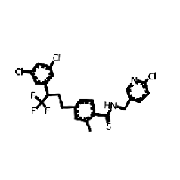 Cc1cc(CCC(c2cc(Cl)cc(Cl)c2)C(F)(F)F)ccc1C(=S)NCc1ccc(Cl)nc1